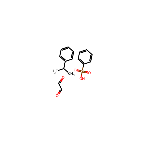 CC(C)c1ccccc1.O=CC=O.O=S(=O)(O)c1ccccc1